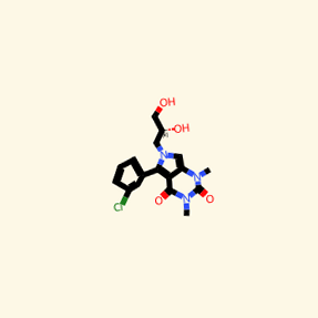 Cn1c(=O)c2c(-c3cccc(Cl)c3)n(C[C@@H](O)CO)cc2n(C)c1=O